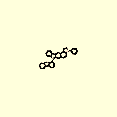 c1ccc(-n2ccc3c4cc5c6ccccc6n(-c6cccc7c6sc6ccccc67)c5cc4ccc32)cc1